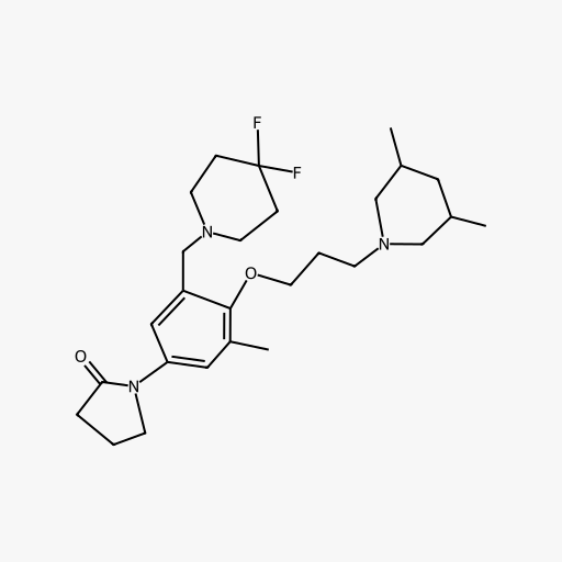 Cc1cc(N2CCCC2=O)cc(CN2CCC(F)(F)CC2)c1OCCCN1CC(C)CC(C)C1